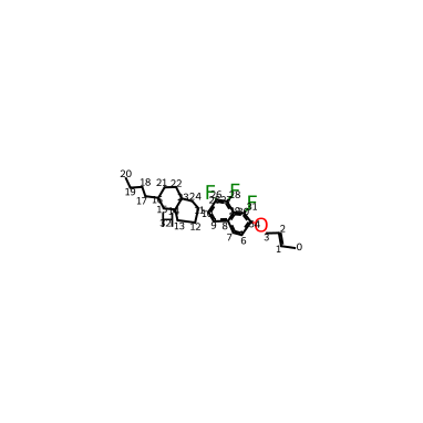 C/C=C/COc1ccc2cc([C@@H]3CC[C@@H]4CC(CCCC)CCC4C3)c(F)c(F)c2c1F